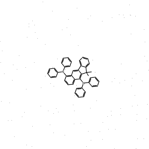 CC1(C)c2ccccc2-c2cc3c(N(c4ccccc4)c4ccccc4)cccc3c(N(c3ccccc3)c3ccccc3)c21